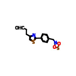 O=CCCc1csc(-c2ccc(CN3OSO3)cc2)n1